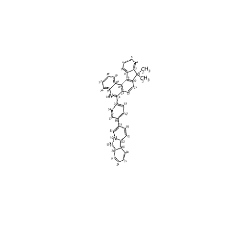 CC1(C)c2ccccc2-c2c1ccc1c(-c3ccc(-c4ccc5c6ccccc6nn5c4)cc3)nc3ccccc3c21